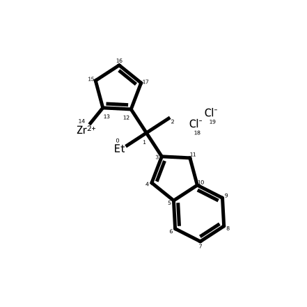 CCC(C)(C1=Cc2ccccc2C1)C1=[C]([Zr+2])CC=C1.[Cl-].[Cl-]